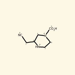 N#CCC1CN(C(=O)O)CCN1